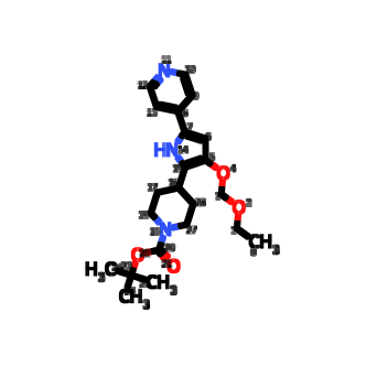 CCOCOc1cc(-c2ccncc2)[nH]c1C1CCN(C(=O)OC(C)(C)C)CC1